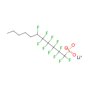 CCCCCC(F)C(F)(F)C(F)(F)C(F)(F)C(F)(F)C(F)(F)S(=O)(=O)[O-].[Li+]